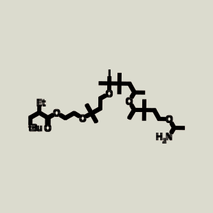 CCC(CC(C)(C)C)C(=O)OCCOC(C)(C)CCOC(C)(I)C(C)(C)CC(C)OC(C)C(C)(C)CCOC(C)N